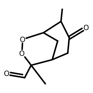 CC1C(=O)CC2CC1OOC2(C)C=O